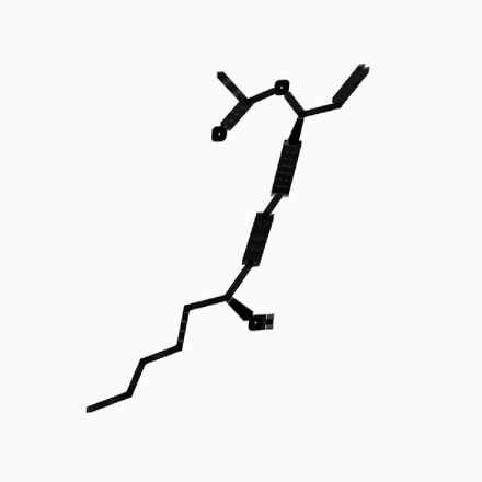 C=C[C@@H](C#CC#C[C@@H](O)CCCCC)OC(C)=O